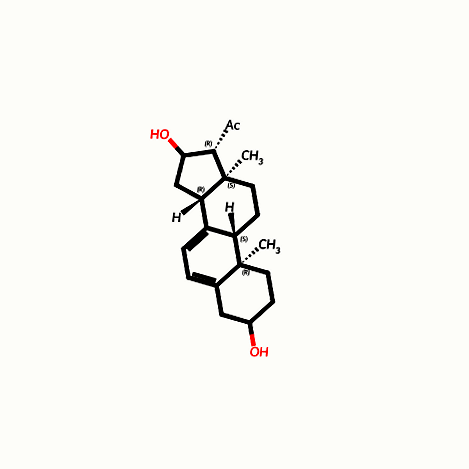 CC(=O)[C@H]1C(O)C[C@H]2C3=CC=C4CC(O)CC[C@]4(C)[C@H]3CC[C@@]21C